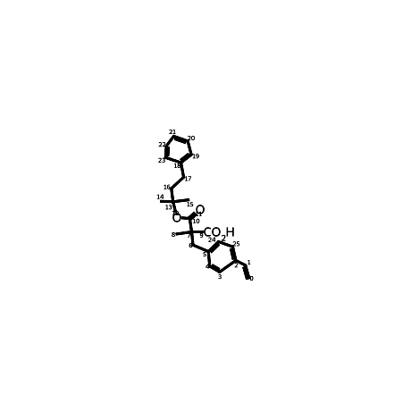 C=Cc1ccc(CC(C)(C(=O)O)C(=O)OC(C)(C)CCc2ccccc2)cc1